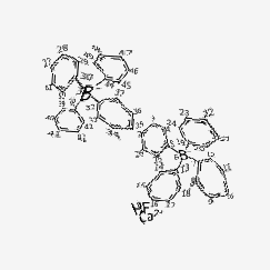 F.[Ca+2].c1ccc([B-](c2ccccc2)(c2ccccc2)c2ccccc2)cc1.c1ccc([B-](c2ccccc2)(c2ccccc2)c2ccccc2)cc1